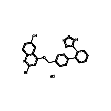 CCc1cc(OCc2ccc(-c3ccccc3-c3nnn[nH]3)cc2)c2cc(C#N)ccc2n1.Cl